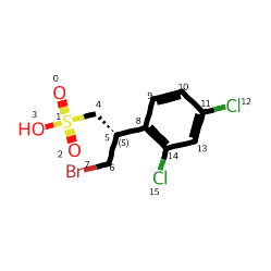 O=S(=O)(O)C[C@@H](CBr)c1ccc(Cl)cc1Cl